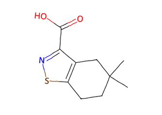 CC1(C)CCc2snc(C(=O)O)c2C1